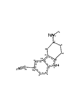 CNC1CCc2[nH]c3ccc(C#N)cc3c2C1